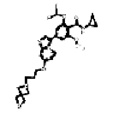 COc1cc(-c2cnc3cc(OCCCN4CC5(COC5)C4)ccn23)cc(OC(F)F)c1C(=O)NC1CC1